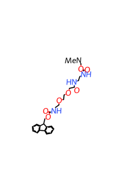 CNCOC(=O)NCCNC(=O)COCCOCCNC(=O)OCC1c2ccccc2-c2ccccc21